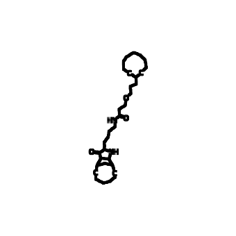 O=C(CCOCCCC1CCCCCCCCC1)NCCCCC1NC2C3CCCCCCC(C3)C2C1=O